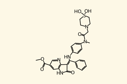 COC(=O)c1cnc2c(c1)NC(=O)C2=C(Nc1ccc(N(C)C(=O)CN2CCS(O)(O)CC2)cc1)c1ccccc1